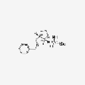 CC(C)(C)[S@+]([O-])N[C@H]1CC[C@H]2CN(Cc3ccccc3)C[C@H]21